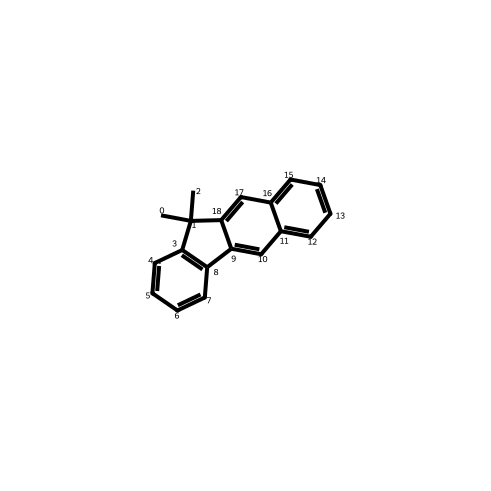 CC1(C)c2[c]cccc2-c2cc3ccccc3cc21